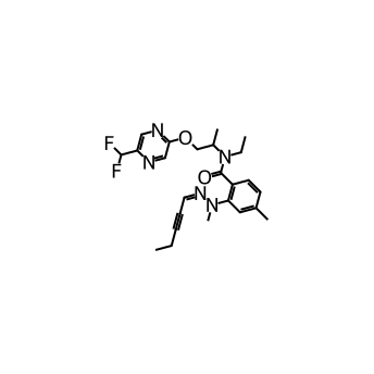 CCC#C/C=N\N(C)c1cc(C)ccc1C(=O)N(CC)C(C)COc1cnc(C(F)F)cn1